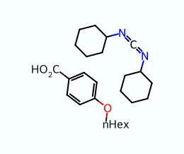 C(=NC1CCCCC1)=NC1CCCCC1.CCCCCCOc1ccc(C(=O)O)cc1